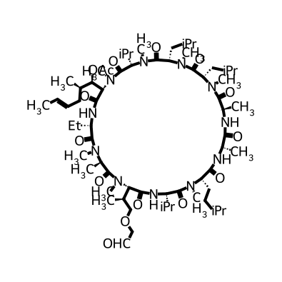 C/C=C/C[C@@H](C)[C@@H](OC(C)=O)[C@H]1C(=O)N[C@@H](CC)C(=O)N(C)[C@H](C)C(=O)N(C)[C@@H]([C@H](C)COCC=O)C(=O)N[C@@H](C(C)C)C(=O)N(C)[C@@H](CCC(C)C)C(=O)N[C@@H](C)C(=O)N[C@H](C)C(=O)N(C)[C@@H](CC(C)C)C(=O)N(C)[C@@H](CC(C)C)C(=O)N(C)[C@@H](C(C)C)C(=O)N1C